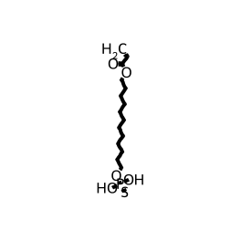 C=CC(=O)OCCCCCCCCCCCCOP(O)(O)=S